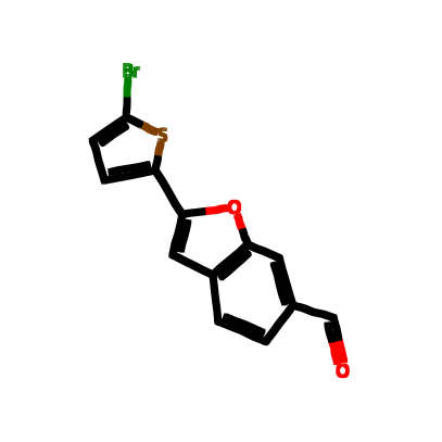 O=Cc1ccc2cc(-c3ccc(Br)s3)oc2c1